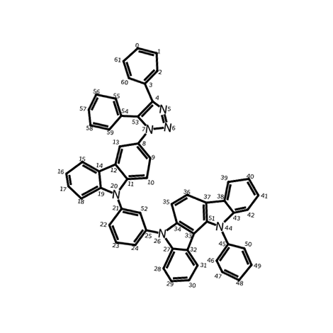 c1ccc(-c2nnn(-c3ccc4c(c3)c3ccccc3n4-c3cccc(-n4c5ccccc5c5c4ccc4c6ccccc6n(-c6ccccc6)c45)c3)c2-c2ccccc2)cc1